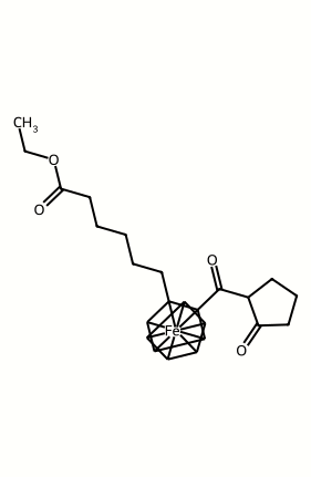 CCOC(=O)CCCCC[C]12[CH]3[CH]4[CH]5[C]1(C(=O)C1CCCC1=O)[Fe]43521678[CH]2[CH]1[CH]6[CH]7[CH]28